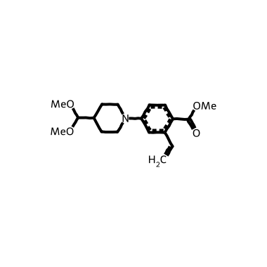 C=Cc1cc(N2CCC(C(OC)OC)CC2)ccc1C(=O)OC